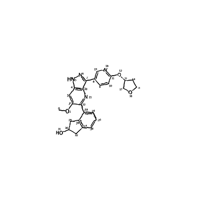 COc1cc2[nH]nc(-c3ccc(OC4CCOC4)nc3)c2nc1-c1cccc2c1CC(O)C2